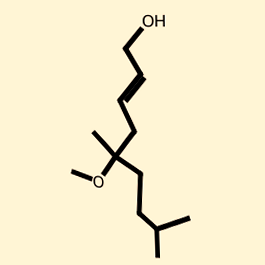 COC(C)(C/C=C/CO)CCC(C)C